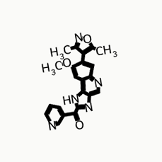 COc1cc2c(cc1-c1c(C)noc1C)ncc1nc(C(=O)c3cccnc3)[nH]c12